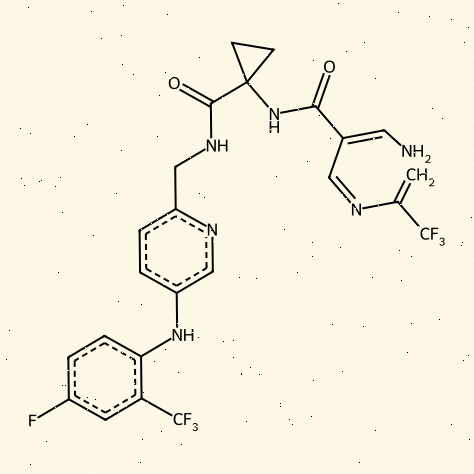 C=C(/N=C\C(=C/N)C(=O)NC1(C(=O)NCc2ccc(Nc3ccc(F)cc3C(F)(F)F)cn2)CC1)C(F)(F)F